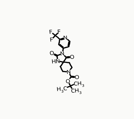 CC(C)(C)OC(=O)N1CCC2(CC1)NC(=O)N(c1ccnc(C(F)(F)F)c1)C2=O